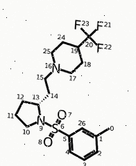 Cc1cccc(S(=O)(=O)N2CCC[C@@H]2CCN2CCC(C(F)(F)F)CC2)c1